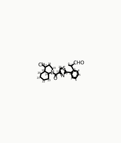 CC(C=O)c1ccccc1-c1nc(C(=O)N2CCC(Cl)C3CCCCC32)cs1